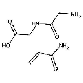 C=CC(N)=O.NCC(=O)NCC(=O)O